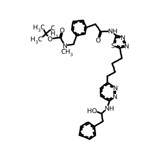 CN(Cc1cccc(CC(=O)Nc2nnc(CCCCc3ccc(NC(O)Cc4ccccc4)nn3)s2)c1)C(=O)OC(C)(C)C